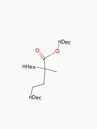 CCCCCCCCCCCCC(C)(CCCCCC)C(=O)OCCCCCCCCCC